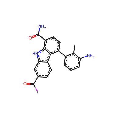 Cc1c(N)cccc1-c1ccc(C(N)=O)c2[nH]c3cc(C(=O)I)ccc3c12